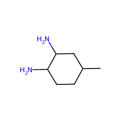 CC1CCC(N)C(N)C1